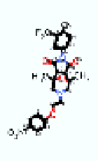 CC12CN(CCOc3ccc([N+](=O)[O-])cc3)CC(C)(O1)C1C(=O)N(c3ccc(C#N)c(C(F)(F)F)c3)C(=O)C12